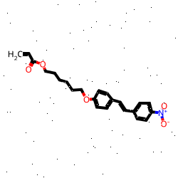 C=CC(=O)OCCCCCCOc1ccc(C=Cc2ccc([N+](=O)[O-])cc2)cc1